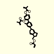 C=CC(=O)OCC1CCC2=CC(c3ccc(-c4ccc(OC(=O)C(=C)C)cc4OC(=O)C(=C)C)c(C)c3)CC=C21